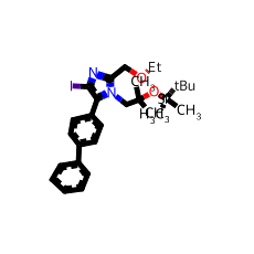 CCOCc1nc(I)c(-c2ccc(-c3ccccc3)cc2)n1CC(C)(C)O[Si](C)(C)C(C)(C)C